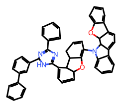 C1=CC2OC3=C(N4c5ccccc5C5=CC=C6c7ccccc7OC6C54)C=CCC3C2C(C2=NC(c3ccccc3)=NC(c3cccc(-c4ccccc4)c3)N2)=C1